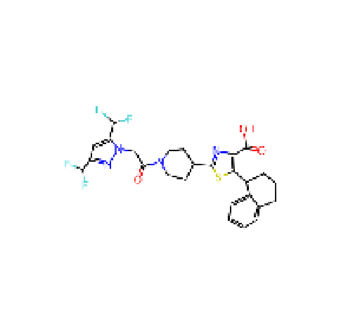 O=C(O)c1nc(C2CCN(C(=O)Cn3nc(C(F)F)cc3C(F)F)CC2)sc1C1CCCc2ccccc21